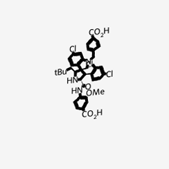 COc1cc(C(=O)O)ccc1NC(=O)[C@@H]1N[C@@H](CC(C)(C)C)[C@@]2(CN(Cc3ccc(C(=O)O)cc3)c3cc(Cl)ccc32)[C@H]1c1ccc(Cl)cc1Cl